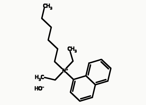 CCCCCC[N+](CC)(CC)c1cccc2ccccc12.[OH-]